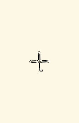 [O]=[Mo](=[O])(=[O])[Au]